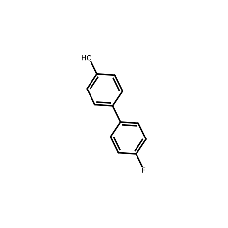 Oc1ccc(-c2ccc(F)cc2)cc1